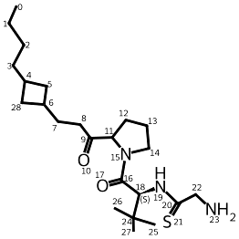 CCCCC1CC(CCC(=O)C2CCCN2C(=O)[C@@H](NC(=S)CN)C(C)(C)C)C1